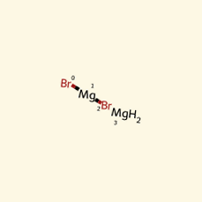 [Br][Mg][Br].[MgH2]